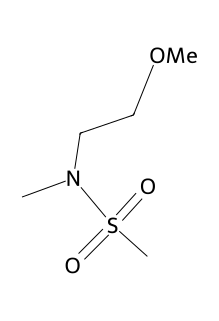 COCCN(C)S(C)(=O)=O